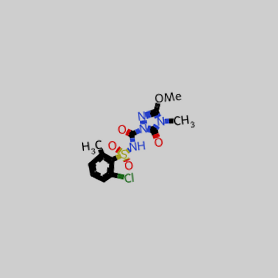 COc1nn(C(=O)NS(=O)(=O)c2c(C)cccc2Cl)c(=O)n1C